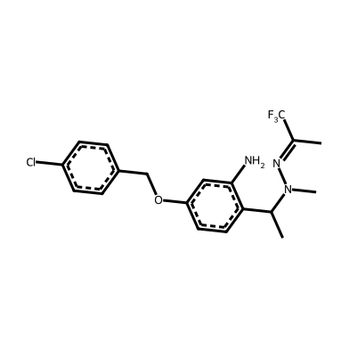 C/C(=N\N(C)C(C)c1ccc(OCc2ccc(Cl)cc2)cc1N)C(F)(F)F